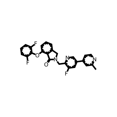 Cc1cc(-c2cnc(CN3Cc4cccc(Oc5c(F)cccc5F)c4C3=O)c(F)c2)ccn1